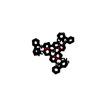 Cc1ccc(N(c2ccc(C)cc2-c2ccc(-n3c4ccccc4c4ccccc43)cc2)c2ccc(C)cc2-c2ccc(-n3c4ccccc4c4ccccc43)cc2)c(-c2ccc(-n3c4ccccc4c4ccccc43)cc2)c1